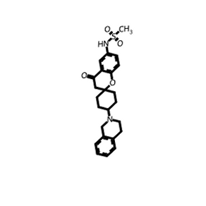 CS(=O)(=O)Nc1ccc2c(c1)C(=O)CC1(CCC(N3CCc4ccccc4C3)CC1)O2